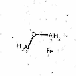 [AlH2][O][AlH2].[Fe]